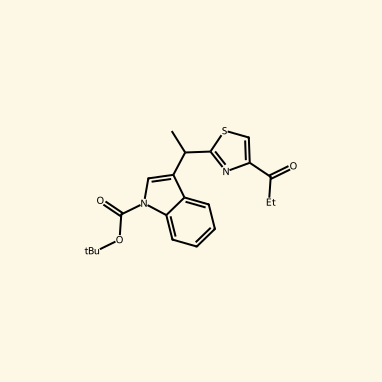 CCC(=O)c1csc(C(C)c2cn(C(=O)OC(C)(C)C)c3ccccc23)n1